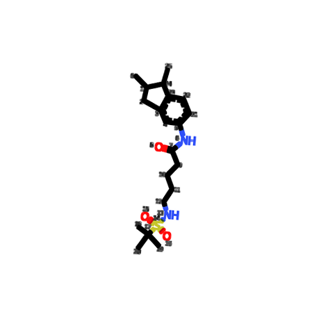 CC1Cc2cc(NC(=O)CCCCNS(=O)(=O)C(C)(C)C)ccc2C1C